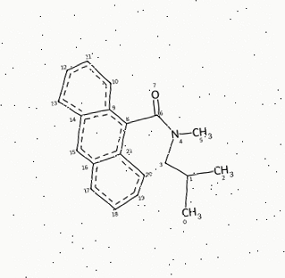 CC(C)CN(C)C(=O)c1c2ccccc2cc2ccccc12